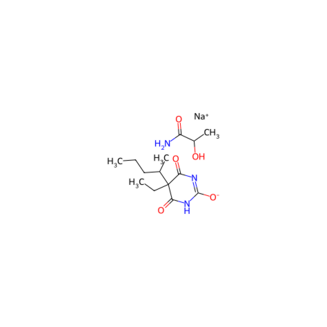 CC(O)C(N)=O.CCCC(C)C1(CC)C(=O)N=C([O-])NC1=O.[Na+]